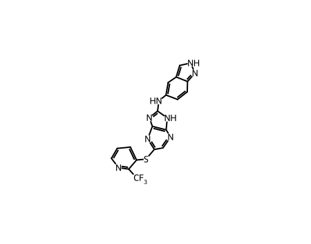 FC(F)(F)c1ncccc1Sc1cnc2[nH]c(Nc3ccc4n[nH]cc4c3)nc2n1